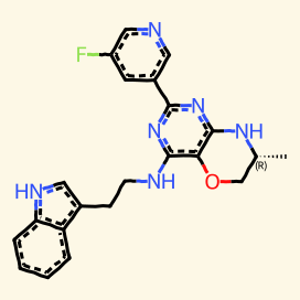 C[C@@H]1COc2c(NCCc3c[nH]c4ccccc34)nc(-c3cncc(F)c3)nc2N1